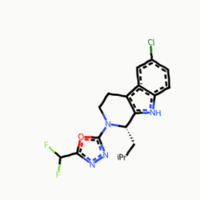 CC(C)C[C@H]1c2[nH]c3ccc(Cl)cc3c2CCN1c1nnc(C(F)F)o1